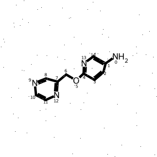 Nc1ccc(OCc2cnccn2)nc1